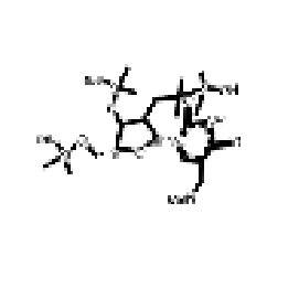 CNCc1cn([C@@H]2O[C@H](CO[Si](C)(C)C(C)(C)C)C(O[Si](C)(C)C(C)(C)C)C2CC(C)(C)[Si](C)(C)O)c(=O)[nH]c1=O